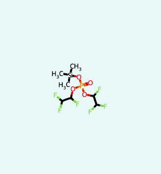 C[Si](C)(C)OP(=O)(OC(F)C(F)F)OC(F)C(F)F